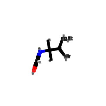 CCCC(C(=O)OCC)C(C)(C)N=C=O